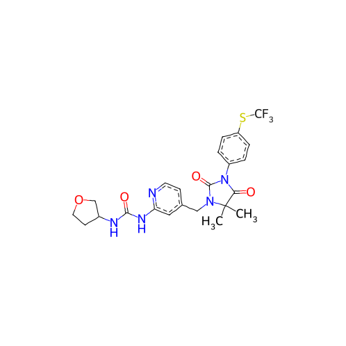 CC1(C)C(=O)N(c2ccc(SC(F)(F)F)cc2)C(=O)N1Cc1ccnc(NC(=O)NC2CCOC2)c1